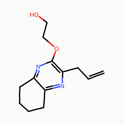 C=CCc1nc2c(nc1OCCO)CCCC2